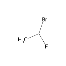 CC(F)Br